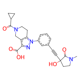 CN1CCC(O)(C#Cc2cccc(-n3nc(C(=O)O)c4c3CCN(C(=O)C3CC3)C4)c2)C1=O